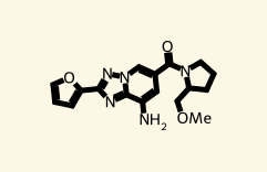 COCC1CCCN1C(=O)c1cc(N)c2nc(-c3ccco3)nn2c1